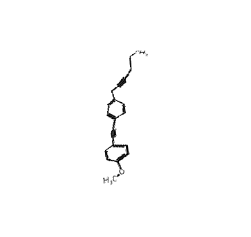 CCCC#CCc1ccc(C#Cc2ccc(OC)cc2)cc1